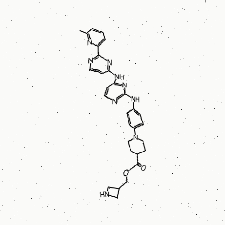 Cc1cccc(-c2nccc(Nc3ccnc(Nc4ccc(N5CCC(C(=O)OCC6CNC6)CC5)cc4)n3)n2)n1